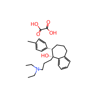 CCN(CC)CCC[C@]1(O)c2ccccc2CCC[C@H]1c1ccc(C)cc1.O=C(O)C(=O)O